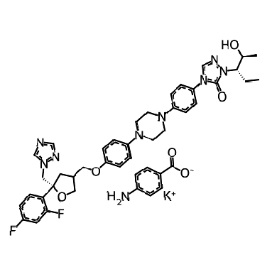 CC[C@@H]([C@H](C)O)n1ncn(-c2ccc(N3CCN(c4ccc(OCC5CO[C@@](Cn6cncn6)(c6ccc(F)cc6F)C5)cc4)CC3)cc2)c1=O.Nc1ccc(C(=O)[O-])cc1.[K+]